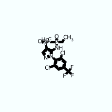 CCP(=O)(CC)Nc1c([N+](=O)[O-])cnn1-c1c(Cl)cc(C(F)(F)F)cc1Cl